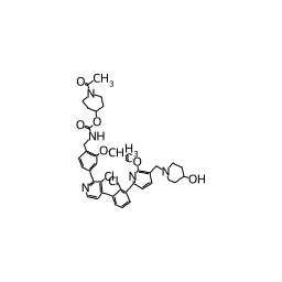 COc1cc(-c2nccc(-c3cccc(-c4ccc(CN5CCC(O)CC5)c(OC)n4)c3Cl)c2Cl)ccc1CNC(=O)OC1CCN(C(C)=O)CC1